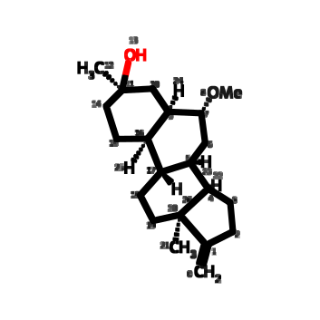 C=C1CC[C@H]2[C@@H]3C[C@@H](OC)[C@@H]4C[C@](C)(O)CC[C@@H]4[C@H]3CC[C@]12C